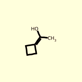 CC(O)=C1CCC1